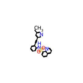 CCc1cncc(C#Cc2ccccc2NS(=O)(=O)c2cccc3cccnc23)c1